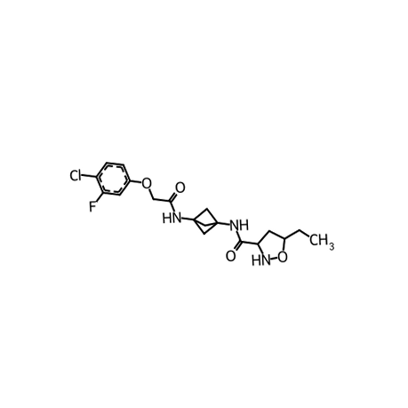 CCC1CC(C(=O)NC23CC(NC(=O)COc4ccc(Cl)c(F)c4)(C2)C3)NO1